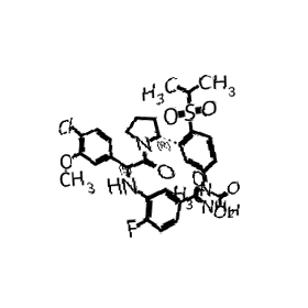 COc1cc([C@H](Nc2cc(C(N)=O)ccc2F)C(=O)N2CCC[C@@H]2c2cc(N(C)C(=O)O)ccc2S(=O)(=O)C(C)C)ccc1Cl